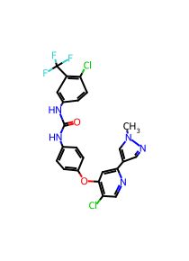 Cn1cc(-c2cc(Oc3ccc(NC(=O)Nc4ccc(Cl)c(C(F)(F)F)c4)cc3)c(Cl)cn2)cn1